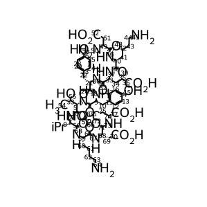 CC(C)[C@H](NC(=O)[C@@H](NC(=O)[C@H](Cc1ccc(O)cc1)NC(=O)[C@H](Cc1ccc(O)cc1)NC(=O)[C@H](CCC(=O)O)NC(=O)[C@H](CCCCN)NC(=O)[C@@H](N)CC(=O)O)[C@@H](C)O)C(=O)N[C@@H](CCCCN)C(=O)N[C@@H](CC(=O)O)C(=O)N[C@@H](CC(=O)O)C(=O)O